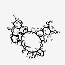 CCOc1ncccc1O[C@H]1[C@H](OC2C(C)C(O[C@H]3C[C@@](C)(OC)[C@@H](O)[C@H](C)O3)C(C)C(=O)OC(CC)C(C)(O)C(O)C(C)N(C)CC(C)CC2(C)O)O[C@H](C)C[C@@H]1N(C)C